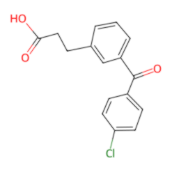 O=C(O)CCc1cccc(C(=O)c2ccc(Cl)cc2)c1